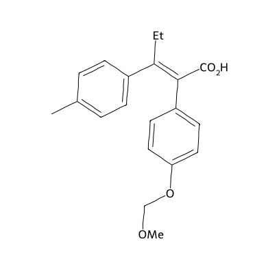 CCC(=C(C(=O)O)c1ccc(OCOC)cc1)c1ccc(C)cc1